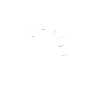 CC(C)OC(=O)OC(C)C(=O)OCC1COC(C)(C)OC1